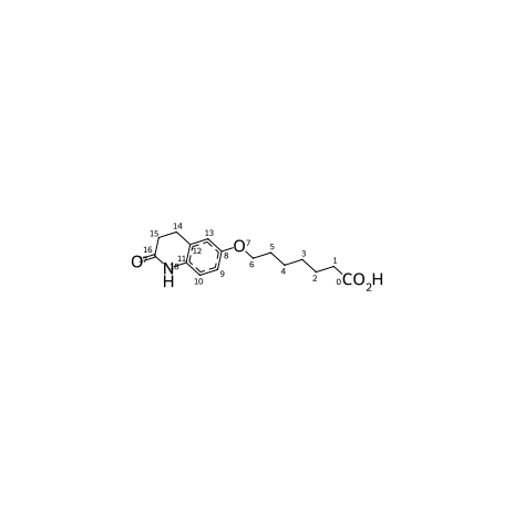 O=C(O)CCCCCCOc1ccc2c(c1)CCC(=O)N2